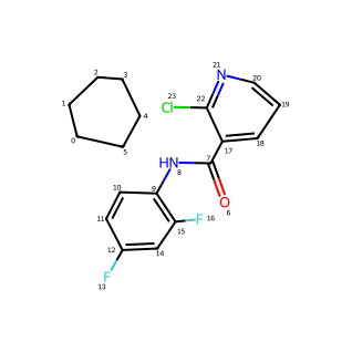 C1CCCCC1.O=C(Nc1ccc(F)cc1F)c1cccnc1Cl